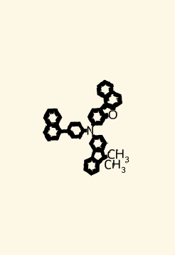 CC1(C)c2ccccc2-c2cc(N(c3ccc4c(c3)oc3ccc5ccccc5c34)C3C=CC(c4cccc5ccccc45)=CC3)ccc21